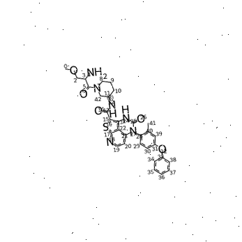 COCC(N)C(=O)N1CCC[C@@H](NC(=O)c2sc3nccc4c3c2NC(=O)N4c2ccc(Oc3ccccc3)cc2C)C1